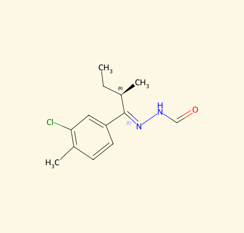 CC[C@@H](C)/C(=N\NC=O)c1ccc(C)c(Cl)c1